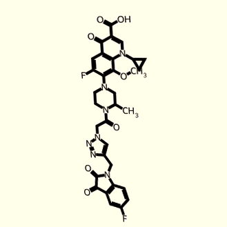 COc1c(N2CCN(C(=O)Cn3cc(CN4C(=O)C(=O)c5cc(F)ccc54)nn3)C(C)C2)c(F)cc2c(=O)c(C(=O)O)cn(C3CC3)c12